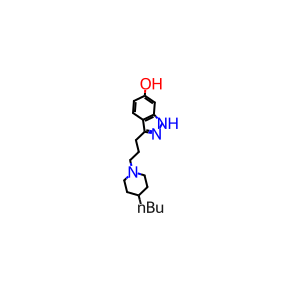 CCCCC1CCN(CCCc2n[nH]c3cc(O)ccc23)CC1